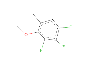 COc1c(C)cc(F)c(F)c1F